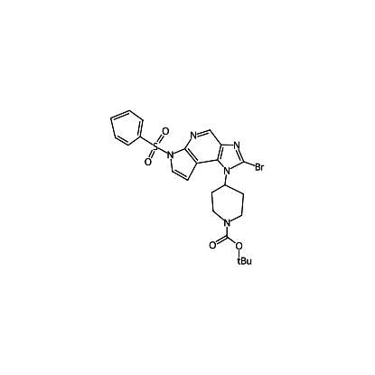 CC(C)(C)OC(=O)N1CCC(n2c(Br)nc3cnc4c(ccn4S(=O)(=O)c4ccccc4)c32)CC1